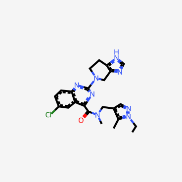 CCn1ncc(CN(C)C(=O)c2nc(N3CCc4[nH]cnc4C3)nc3ccc(Cl)cc23)c1C